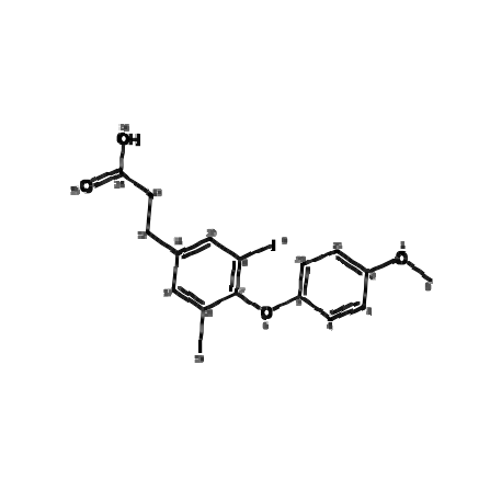 COc1ccc(Oc2c(I)cc(CCC(=O)O)cc2I)cc1